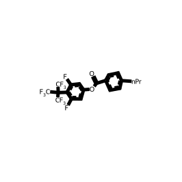 CCCc1ccc(C(=O)Oc2cc(F)c(C(C(F)(F)F)(C(F)(F)F)C(F)(F)F)c(F)c2)cc1